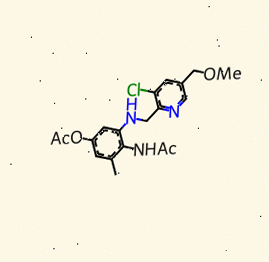 COCc1cnc(CNc2cc(OC(C)=O)cc(C)c2NC(C)=O)c(Cl)c1